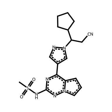 CS(=O)(=O)Nc1nc(-c2cnn(C(CC#N)C3CCCC3)c2)c2cccn2n1